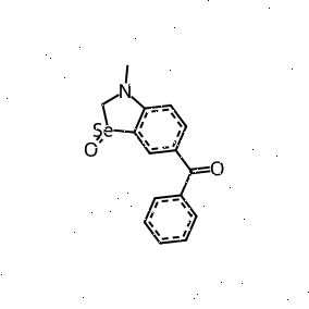 CN1C[Se](=O)c2cc(C(=O)c3ccccc3)ccc21